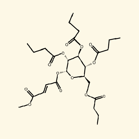 CCCC(=O)OC[C@H]1O[C@H](OC(=O)/C=C/C(=O)OC)[C@H](OC(=O)CCC)[C@@H](OC(=O)CCC)[C@@H]1OC(=O)CCC